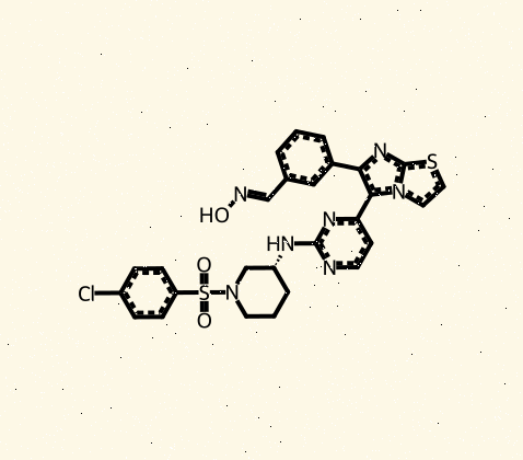 O=S(=O)(c1ccc(Cl)cc1)N1CCC[C@@H](Nc2nccc(-c3c(-c4cccc(/C=N/O)c4)nc4sccn34)n2)C1